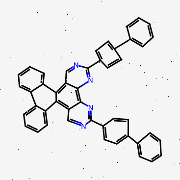 c1ccc(-c2ccc(-c3ncc4c(n3)c3nc(-c5ccc(-c6ccccc6)cc5)ncc3c3c5ccccc5c5ccccc5c43)cc2)cc1